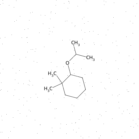 CC(C)OC1CCCCC1(C)C